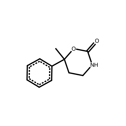 CC1(c2ccccc2)CCNC(=O)O1